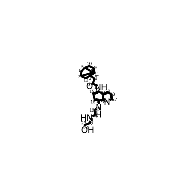 O=C(CC12CC3CC(CC(C3)C1)C2)Nc1ccc(NCCNCCO)c2ncccc12